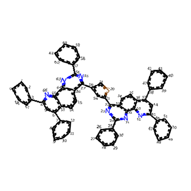 c1ccc(-c2cc(-c3ccccc3)c3ccc4c(-c5csc(-c6nc(-c7ccccc7)nc7c6ccc6c(-c8ccccc8)cc(-c8ccccc8)nc67)c5)nc(-c5ccccc5)nc4c3n2)cc1